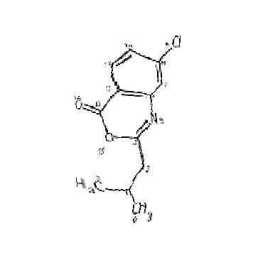 CC(C)Cc1nc2cc(Cl)ccc2c(=O)o1